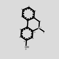 CN1Cc2ccccc2-c2ccc(O)cc21